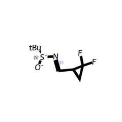 CC(C)(C)[S@@+]([O-])/N=C/C1CC1(F)F